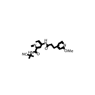 C=N/C(=C\C(=C/C)NC(=O)CCc1ccnc(OC)c1)C(=O)NC(C)(C)C#N